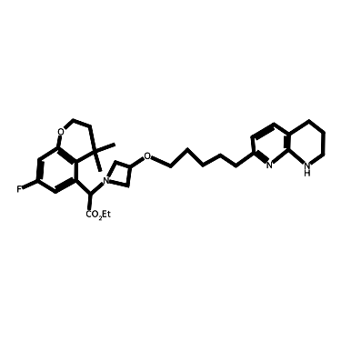 CCOC(=O)C(c1cc(F)cc2c1C(C)(C)CCO2)N1CC(OCCCCCc2ccc3c(n2)NCCC3)C1